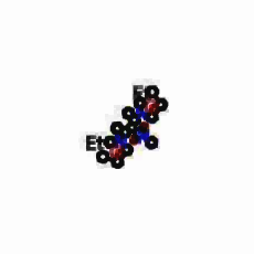 CCc1ccc(N(c2cc3c(c4ccccc24)-c2c(cc(N(c4ccc(CC)cc4)c4cccc5c4oc4c(C6CCCCC6)cccc45)c4ccccc24)C32c3ccccc3N(c3ccccc3)c3ccccc32)c2cccc3c2oc2c(C4CCCCC4)cccc23)cc1